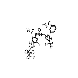 Cc1cccc(-n2nc(C(F)(F)F)cc2CNC(=O)C(C)c2ccc(CNS(C)(=O)=O)c(F)c2)c1